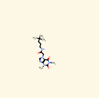 Cn1c(=O)c2c(ncn2CC(=O)NCCCC(C)(C)C)n(C)c1=O